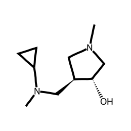 CN1C[C@H](CN(C)C2CC2)[C@@H](O)C1